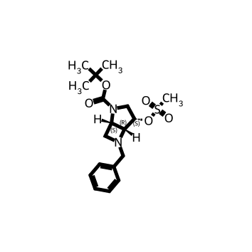 CC(C)(C)OC(=O)N1C[C@H](OS(C)(=O)=O)[C@H]2[C@@H]1CN2Cc1ccccc1